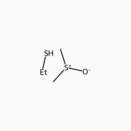 CCS.C[S+](C)[O-]